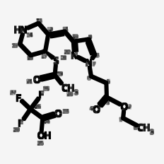 CCOC(=O)CCn1ccc(C=C2CNCC[C@@H]2SC(C)=O)n1.O=C(O)C(F)(F)F